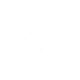 [CH3][Sn][c]1ccccc1C(C)N